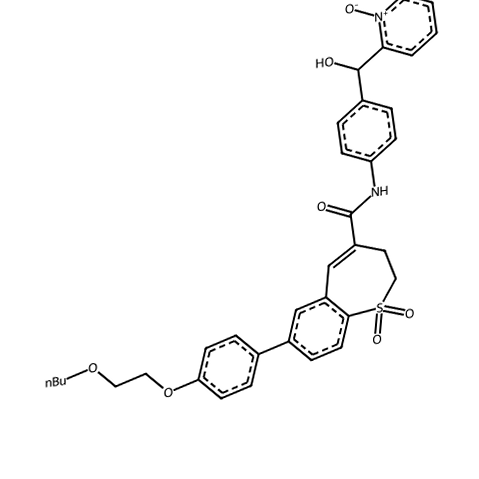 CCCCOCCOc1ccc(-c2ccc3c(c2)C=C(C(=O)Nc2ccc(C(O)c4cccc[n+]4[O-])cc2)CCS3(=O)=O)cc1